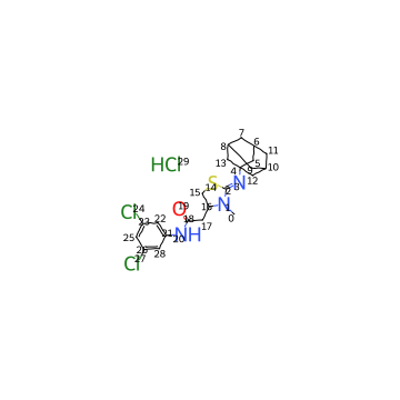 CN1/C(=N/C23CC4CC(CC(C4)C2)C3)SCC1CC(=O)Nc1cc(Cl)cc(Cl)c1.Cl